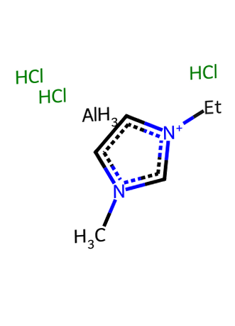 CC[n+]1ccn(C)c1.Cl.Cl.Cl.[AlH3]